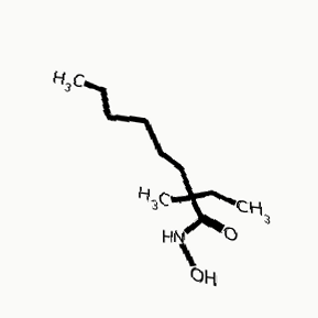 CCCCCCC(C)(CC)C(=O)NO